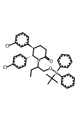 CCC(CO[Si](c1ccccc1)(c1ccccc1)C(C)(C)C)N1C(=O)CC[C@H](c2cccc(Cl)c2)[C@H]1c1ccc(Cl)cc1